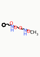 CCOCNCCOCCOCNC(=O)C=Cc1ccccc1